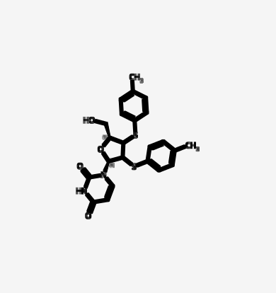 Cc1ccc(SC2C(Sc3ccc(C)cc3)[C@@H](n3ccc(=O)[nH]c3=O)O[C@H]2CO)cc1